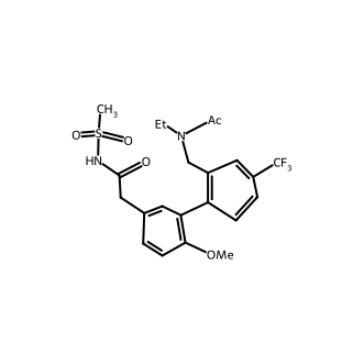 CCN(Cc1cc(C(F)(F)F)ccc1-c1cc(CC(=O)NS(C)(=O)=O)ccc1OC)C(C)=O